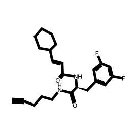 C#CCCCNC(=O)[C@H](Cc1cc(F)cc(F)c1)NC(=O)/C=C/C1CCCCC1